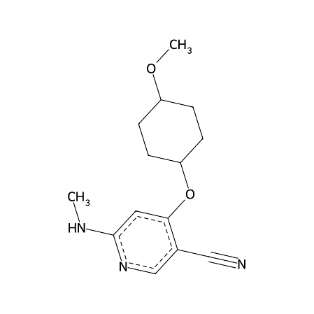 CNc1cc(OC2CCC(OC)CC2)c(C#N)cn1